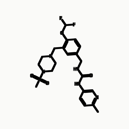 Cc1ccc(NC(=O)NCc2ccc(OC(F)F)c(CN3CCN(S(C)(=O)=O)CC3)c2)cn1